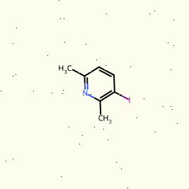 Cc1ccc(I)c(C)n1